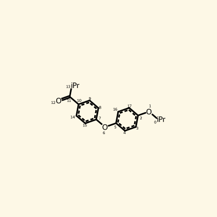 CC(C)Oc1ccc(Oc2ccc(C(=O)C(C)C)cc2)cc1